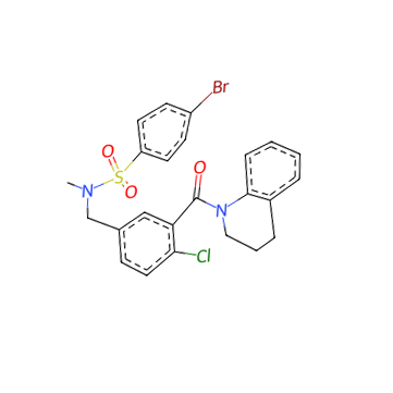 CN(Cc1ccc(Cl)c(C(=O)N2CCCc3ccccc32)c1)S(=O)(=O)c1ccc(Br)cc1